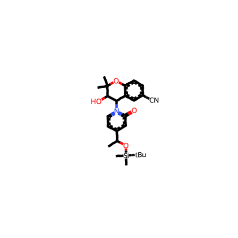 CC(O[Si](C)(C)C(C)(C)C)c1ccn(C2c3cc(C#N)ccc3OC(C)(C)C2O)c(=O)c1